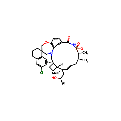 CO[C@@]1(C[C@H](O)C(C)C)/C=C/C[C@H](C)[C@@H](C)S(=O)(=O)NC(=O)c2ccc3c(c2)N(C[C@@H]2CC[C@H]21)C[C@@]1(CCCc2cc(Cl)ccc21)CO3